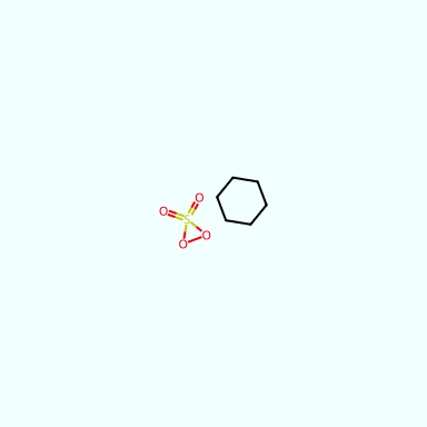 C1CCCCC1.O=S1(=O)OO1